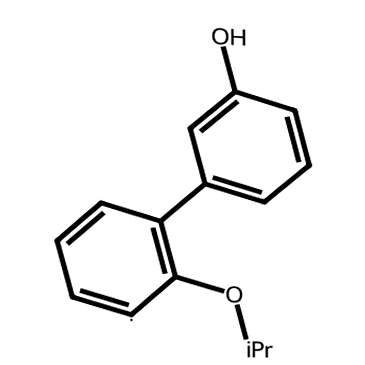 CC(C)Oc1[c]cccc1-c1cccc(O)c1